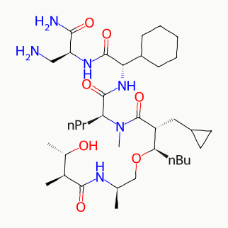 CCCC[C@@H](OC[C@@H](C)NC(=O)[C@@H](C)[C@H](C)O)[C@@H](CC1CC1)C(=O)N(C)[C@@H](CCC)C(=O)N[C@H](C(=O)N[C@@H](CN)C(N)=O)C1CCCCC1